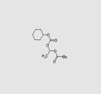 CC(OC(=O)OC1CCCCC1)OC(=O)C(C)(C)C